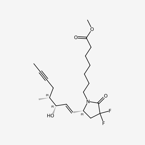 CC#CC[C@@H](C)[C@@H](O)C=C[C@H]1CC(F)(F)C(=O)N1CCCCCCC(=O)OC